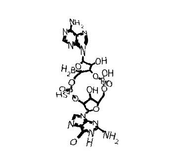 BC12CO[P@@](=O)(S)OC3C(O)C(CO[P@@](=O)(O)OC1C(O)C(n1cnc4c(N)ncnc41)O2)OC3n1cnc2c(=O)[nH]c(N)nc21